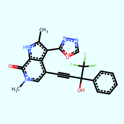 Cc1[nH]c2c(=O)n(C)cc(C#CC(O)(c3ccccc3)C(F)(F)F)c2c1-c1nnco1